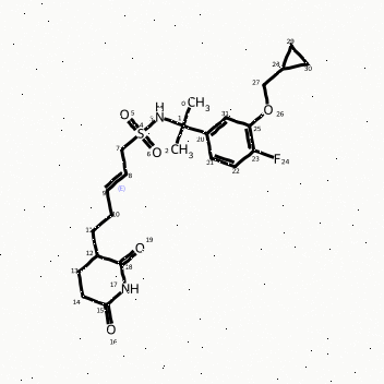 CC(C)(NS(=O)(=O)C/C=C/CCC1CCC(=O)NC1=O)c1ccc(F)c(OCC2CC2)c1